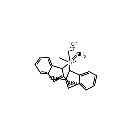 CC(C)(C)C1=Cc2ccccc2[CH]1[Ti+2]([CH3])([CH3])(=[SiH2])[CH]1C(C(C)(C)C)=Cc2ccccc21.[Cl-].[Cl-]